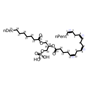 CCCCC/C=C\C/C=C\C/C=C\C/C=C\CCCC(=O)O[C@H](COC(=O)CCCCCCCCCCCCCCCC)COP(=O)(O)O